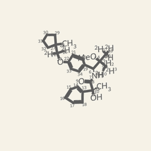 [2H]C([2H])([2H])C(OC)([C@H](NC(=O)[C@](C)(O)c1ccccc1)c1ccc(OC([2H])([2H])C2(C)CCCC2)cc1)C([2H])([2H])[2H]